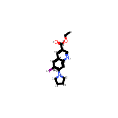 CCOC(=O)c1cnc2cc(N3CCCC3)c(I)cc2c1